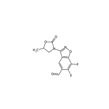 CC1CN(c2noc3c(F)c(F)c(C=O)cc23)C(=O)O1